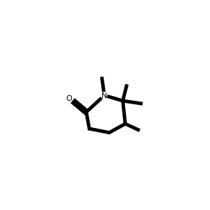 CC1CCC(=O)N(C)C1(C)C